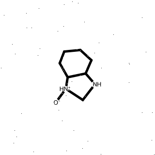 [O-][NH+]1CNC2CCCCC21